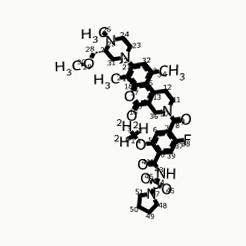 [2H]C([2H])([2H])Oc1cc(C(=O)N2CCc3c(c(=O)oc4c(C)c(N5CCN(C)[C@@H](COC)C5)cc(C)c34)C2)c(F)cc1C(=O)NS(=O)(=O)N1CCCC1